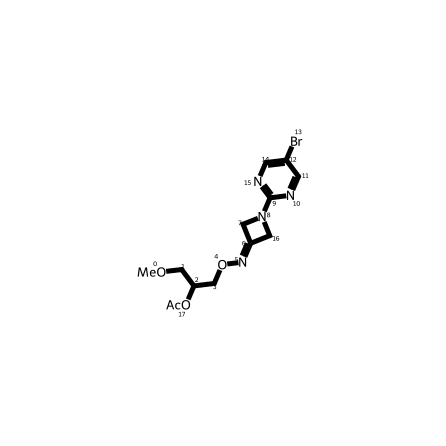 COCC(CON=C1CN(c2ncc(Br)cn2)C1)OC(C)=O